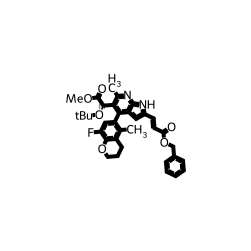 COC(=O)[C@@H](OC(C)(C)C)c1c(C)nc2[nH]c(C=CC(=O)OCc3ccccc3)cc2c1-c1cc(F)c2c(c1C)CCCO2